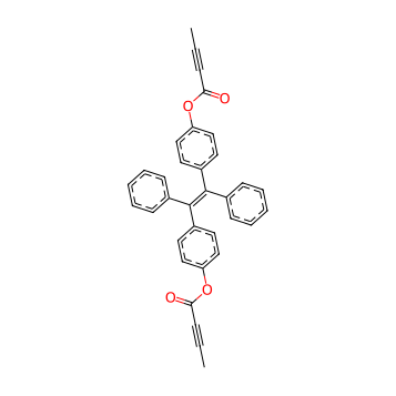 CC#CC(=O)Oc1ccc(/C(=C(\c2ccccc2)c2ccc(OC(=O)C#CC)cc2)c2ccccc2)cc1